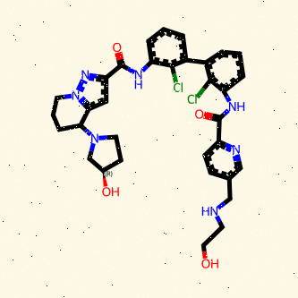 O=C(Nc1cccc(-c2cccc(NC(=O)c3cc4n(n3)CCCC4N3CC[C@@H](O)C3)c2Cl)c1Cl)c1ccc(CNCCO)cn1